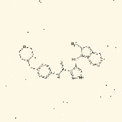 Cc1cc2ccncc2n1Nc1c[nH]nc1C(=O)Nc1ccc(CN2CCOCC2)cc1